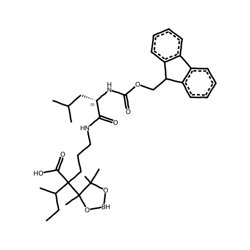 CCC(C)C(CCCNC(=O)[C@H](CC(C)C)NC(=O)OCC1c2ccccc2-c2ccccc21)(C(=O)O)C1(C)OBOC1(C)C